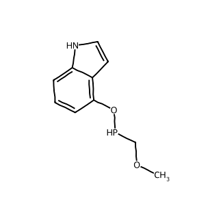 COCPOc1cccc2[nH]ccc12